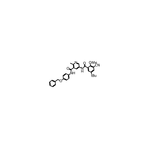 COc1c(C#N)cc(C(C)(C)C)cc1C(=O)Nc1cnc(C)c(C(=O)Nc2ccc(OCc3ccccc3)cc2)c1